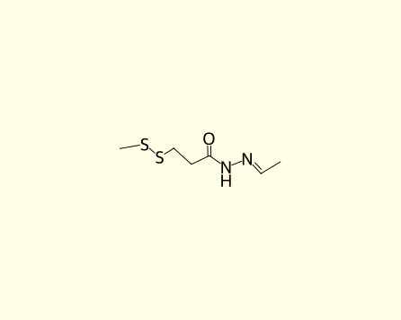 C/C=N/NC(=O)CCSSC